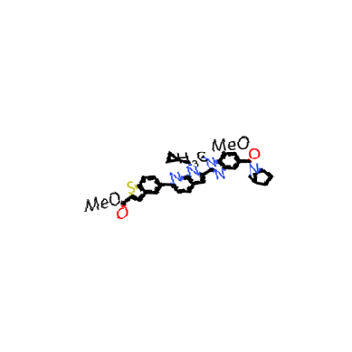 COC(=O)c1cc2cc(-c3ccc4cc(-c5nc6cc(C(=O)N7CC8CCC7C8)cc(OC)c6n5C)n(CC5CC5)c4n3)ccc2s1